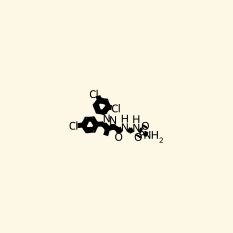 Cc1c(C(=O)NCNS(N)(=O)=O)nn(-c2ccc(Cl)cc2Cl)c1-c1ccc(Cl)cc1